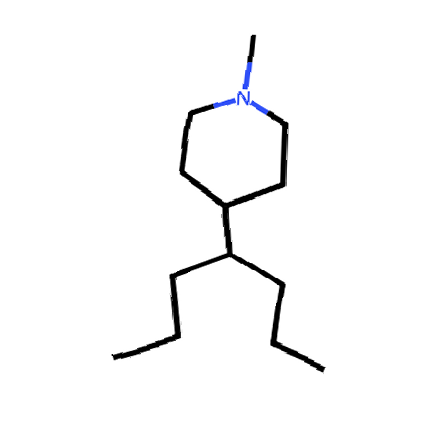 CCCC(CCC)C1CCN(C)CC1